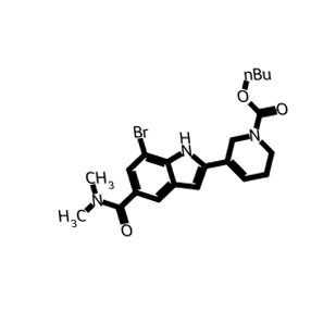 CCCCOC(=O)N1CCC=C(c2cc3cc(C(=O)N(C)C)cc(Br)c3[nH]2)C1